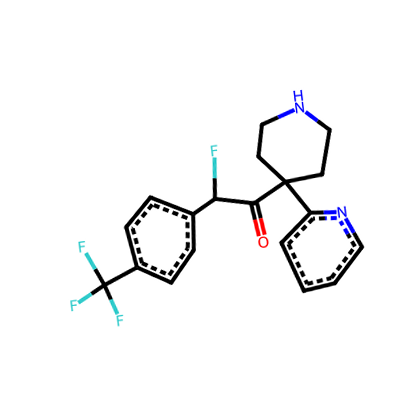 O=C(C(F)c1ccc(C(F)(F)F)cc1)C1(c2ccccn2)CCNCC1